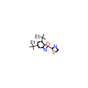 CCC(C)(C)c1cc(C(C)(C)CC)c2oc(-c3nccs3)nc2c1